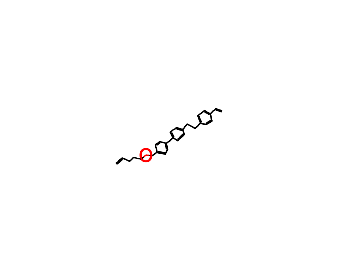 C=CCCCOCc1ccc(-c2ccc(CCc3ccc(C=C)cc3)cc2)cc1